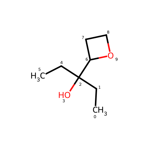 CCC(O)(CC)C1CCO1